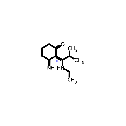 CCN/C(=C1\C(=N)CCCC1=O)C(C)C